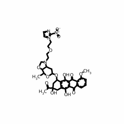 COc1cccc2c1C(=O)c1c(O)c3c(c(O)c1C2=O)CC(O)(C(C)=O)CC3OC1CC2C(OCN2CCOCCn2ccnc2[N+](=O)[O-])C(C)O1